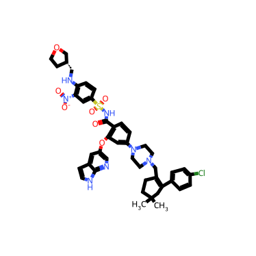 CC1(C)CCC(CN2CCN(c3ccc(C(=O)NS(=O)(=O)c4ccc(NC[C@@H]5CCOC5)c([N+](=O)[O-])c4)c(Oc4cnc5[nH]ccc5c4)c3)CC2)=C(c2ccc(Cl)cc2)C1